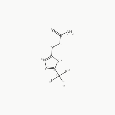 NC(=O)C[CH]c1ncc(C(F)(F)F)s1